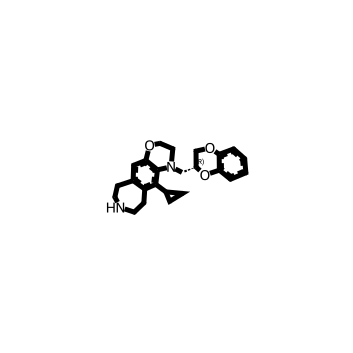 c1ccc2c(c1)OC[C@@H](CN1CCOc3cc4c(c(C5CC5)c31)CCNCC4)O2